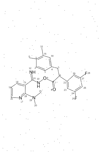 Cc1ccc(CC(C(=O)ONC(=N)c2cccnc2N(C)C)c2cc(F)cc(F)c2)cc1C